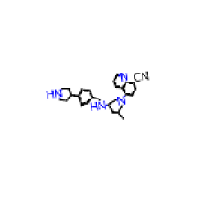 CC1CC(NCc2ccc(C3CCNCC3)cc2)CN(c2ccc(C#N)c3ncccc23)C1